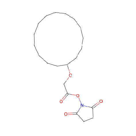 O=C(COC1CCCCCCCCCCCCCC1)ON1C(=O)CCC1=O